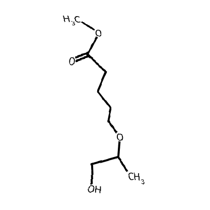 COC(=O)CCCCOC(C)CO